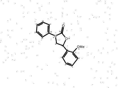 COc1ccccc1C1CN(c2ccccc2)C(=O)O1